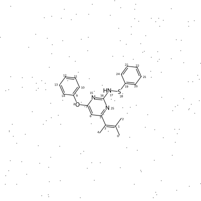 CC(C)=C(C)c1cc(Oc2ccccc2)nc(NSc2ccccc2)n1